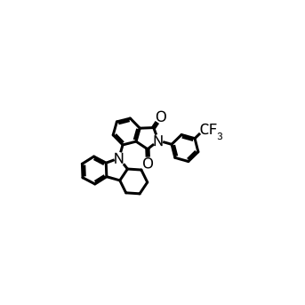 O=C1c2cccc(N3c4ccccc4C4CCCCC43)c2C(=O)N1c1cccc(C(F)(F)F)c1